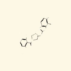 COc1cccc(OC)c1C(=O)N1CCC(Nc2nc3ccc(F)c(F)c3o2)C1